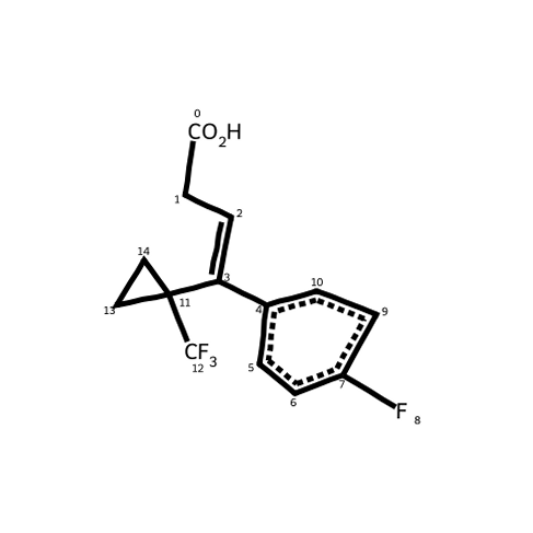 O=C(O)C/C=C(/c1ccc(F)cc1)C1(C(F)(F)F)CC1